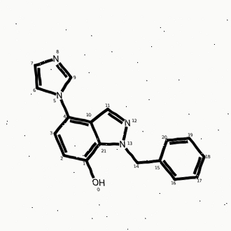 Oc1ccc(-n2ccnc2)c2cnn(Cc3ccccc3)c12